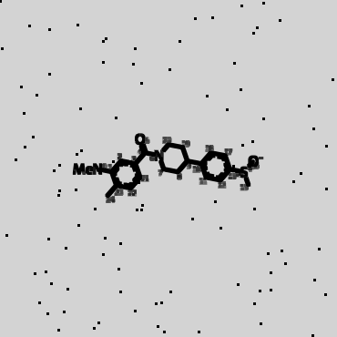 CNc1cc(C(=O)N2CCC(c3ccc([S+](C)[O-])cc3)CC2)ccc1C